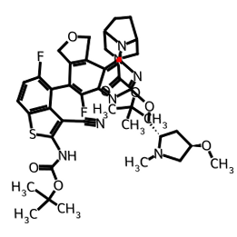 CO[C@@H]1C[C@@H](COc2nc(N3C4CCC3CN(C(=O)OC(C)(C)C)C4)c3c4c(c(-c5c(F)ccc6sc(NC(=O)OC(C)(C)C)c(C#N)c56)c(F)c3n2)COC4)N(C)C1